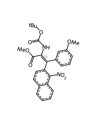 COC(=O)/C(NC(=O)OC(C)(C)C)=C(/c1cccc(OC)c1)c1ccc2ccccc2c1[N+](=O)[O-]